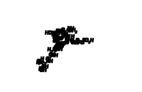 C/C(=N/O)C(C)(C)NCCC(CCNC(=O)CCCC(=O)NCCCC[C@H](NC(=O)CNC(=O)[C@@H]1CSCC(=O)N[C@@H](CCCCNC(=O)CCC(=O)Nc2ccc3c(S(=O)(=O)O)cccc3c2)C(=O)N[C@H]2CSSC[C@H](NC(=O)[C@H](CC(=O)O)NC(=O)CNC(=O)[C@H](CCCNC(=N)N)NC2=O)C(=O)NC(Cc2ccccc2)C(=O)N1)C(N)=O)CCNC(C)(C)/C(C)=N\O